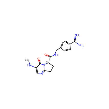 CCC(C)Nc1cnc2n(c1=O)[C@H](C(=O)NCc1ccc(C(=N)N)cc1)CC2